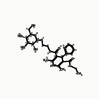 CCOC(=O)C1=C(C)NC(C)=C(C(=O)OCCO[C@@H]2O[C@H](CO)[C@@H](O)[C@H](O)[C@H]2O)C1c1ccccn1